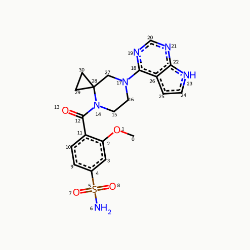 COc1cc(S(N)(=O)=O)ccc1C(=O)N1CCN(c2ncnc3[nH]ccc23)CC12CC2